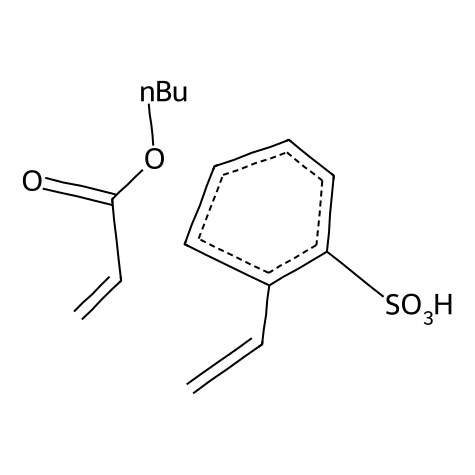 C=CC(=O)OCCCC.C=Cc1ccccc1S(=O)(=O)O